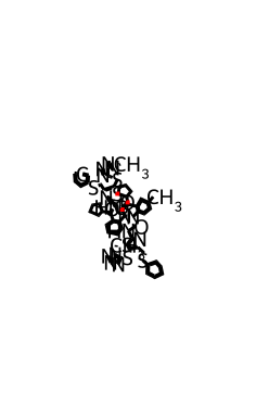 Cc1ccc(N(C(=O)Nc2nc(CSc3ccccc3)c(Sc3nnnn3C)s2)N(C(=O)Nc2nc(CSc3ccccc3)c(Sc3nnnn3C)s2)c2ccccc2C(=O)C2CCCC2)c(C(=O)C2CCCC2)c1